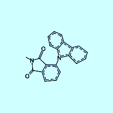 CN1C(=O)c2cccc(-n3c4ccccc4c4ccccc43)c2C1=O